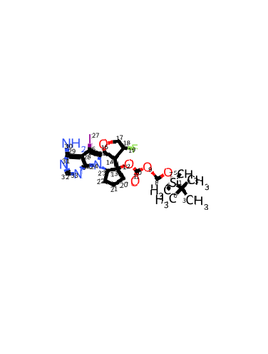 CC(C)(C)[Si](C)(C)OCOC(=O)OC1(C2COCC2F)CCC[C@H]1n1cc(I)c2c(N)ncnc21